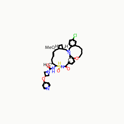 CO[C@H]1/C=C/C[C@H](C)C(NC(=O)N2CC(Oc3ccncc3)C2)/[SH](=O)=N\C(=O)c2ccc3c(c2)N(Cc2ccc(Cl)cc2CCCCO3)C[C@@H]2CC[C@H]21